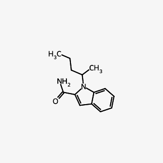 CCCC(C)n1c(C(N)=O)cc2ccccc21